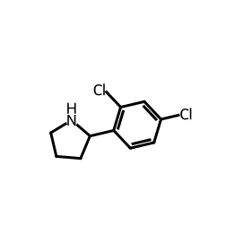 Clc1ccc(C2CCCN2)c(Cl)c1